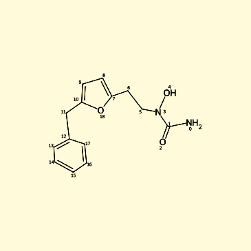 NC(=O)N(O)CCc1ccc(Cc2ccccc2)o1